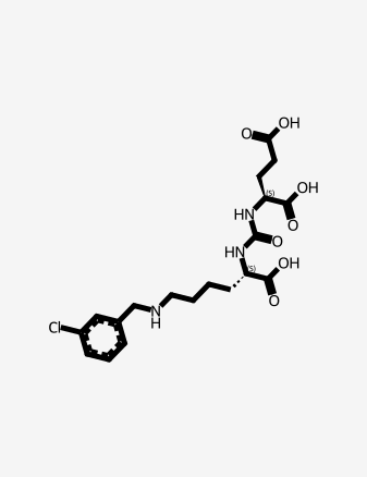 O=C(O)CC[C@H](NC(=O)N[C@@H](CCCCNCc1cccc(Cl)c1)C(=O)O)C(=O)O